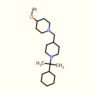 CC(C)OC1CCN(CC2CCN(C(C)(C)C3CCCCC3)CC2)CC1